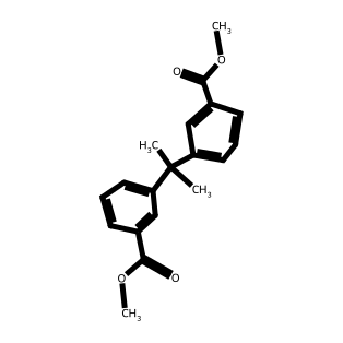 COC(=O)c1cccc(C(C)(C)c2cccc(C(=O)OC)c2)c1